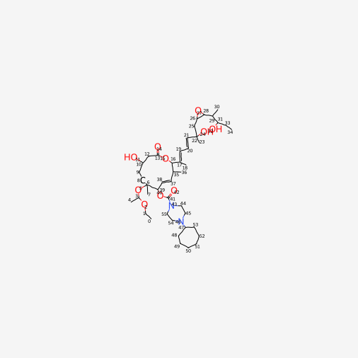 CCOC(C)OC1(C)CCC(O)CC(=O)OC(/C(C)=C/C=C/C(C)(O)CC2OC2C(C)C(O)CC)C(C)/C=C/C1OC(=O)N1CCN(C2CCCCCC2)CC1